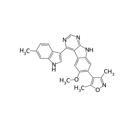 COc1cc2c(cc1-c1c(C)noc1C)[nH]c1ncnc(-c3c[nH]c4cc(C)ccc34)c12